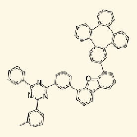 Cc1cccc(-c2nc(-c3ccccc3)nc(-c3cccc(-c4cccc5c4oc4c(-c6ccc7c(c6)-c6ccccc6-c6ccccc6-c6ccccc6-7)cccc45)c3)n2)c1